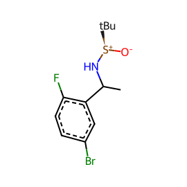 CC(N[S@+]([O-])C(C)(C)C)c1cc(Br)ccc1F